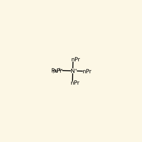 CCC[N+](CCC)(CCC)CCC.[Ru+3]